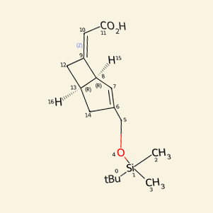 CC(C)(C)[Si](C)(C)OCC1=C[C@@H]2/C(=C\C(=O)O)C[C@@H]2C1